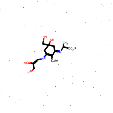 COC1=C(N/C=C(/O)CO)CC(O)(CO)CC1=NC(C)C(=O)O